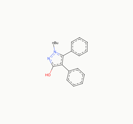 CCCCn1nc(O)c(-c2ccccc2)c1-c1ccccc1